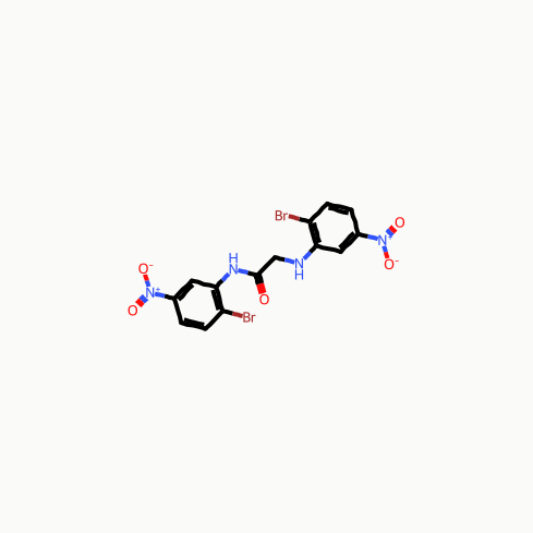 O=C(CNc1cc([N+](=O)[O-])ccc1Br)Nc1cc([N+](=O)[O-])ccc1Br